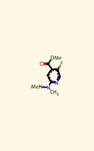 CNN(C)c1cc(C(=O)OC)c(F)cn1